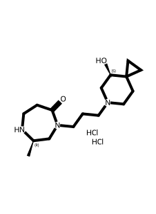 C[C@@H]1CN(CCCN2CCC3(CC3)[C@H](O)C2)C(=O)CCN1.Cl.Cl